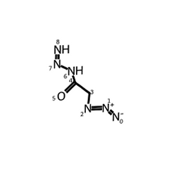 [N-]=[N+]=NCC(=O)NN=N